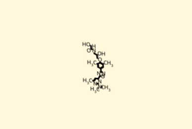 Cc1cc(-c2nc(-c3cc(C)c(OC[C@@H](O)CNC(=O)CO)c(C)c3)no2)nc(N(C)C)n1